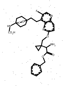 NC(C(=O)OCc1ccccc1)C1(COc2ccc3ncc(F)c(CCC45CCC(NC(=O)O)(CC4)CO5)c3n2)CC1